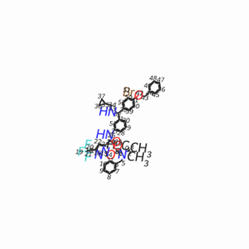 CC(C)(C)N(Cc1ccccc1)C(=O)On1nc(C(F)(F)F)cc1C(=O)Nc1cccc(C(NCC2CC2)c2ccc(OCc3ccccc3)c(Br)c2)c1